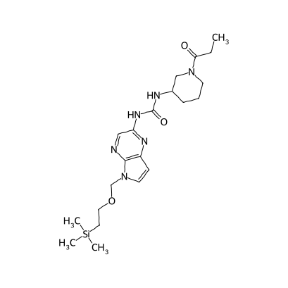 CCC(=O)N1CCCC(NC(=O)Nc2cnc3c(ccn3COCC[Si](C)(C)C)n2)C1